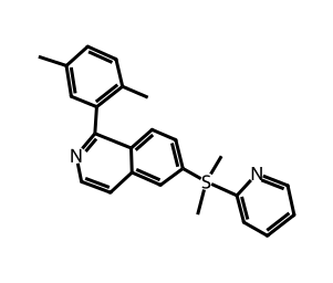 Cc1ccc(C)c(-c2nccc3cc(S(C)(C)c4ccccn4)ccc23)c1